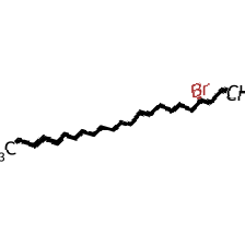 CCCCCCCCCCCCCCCCCCCC(Br)CCC